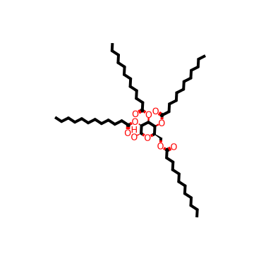 CCCCCCCCCCCC(=O)OC[C@H]1O[C@H](O)[C@H](OC(=O)CCCCCCCCCCC)[C@@H](OC(=O)CCCCCCCCCCC)[C@H]1OC(=O)CCCCCCCCCCC